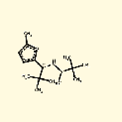 Cc1ccc([C@H](N[S+]([O-])C(C)(C)C)C(C)(C)C)o1